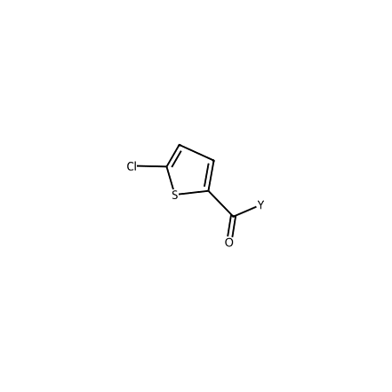 O=[C]([Y])c1ccc(Cl)s1